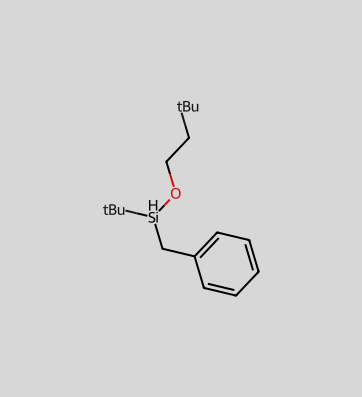 CC(C)(C)CCO[SiH](Cc1ccccc1)C(C)(C)C